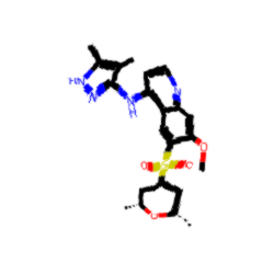 COc1cc2nccc(Nc3n[nH]c(C)c3C)c2cc1S(=O)(=O)C1C[C@@H](C)O[C@@H](C)C1